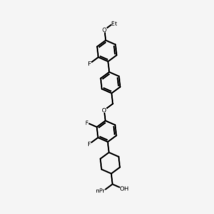 CCCC(O)C1CCC(c2ccc(OCc3ccc(-c4ccc(OCC)cc4F)cc3)c(F)c2F)CC1